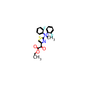 CCOC(=O)C(=O)c1csc([N+](C)(c2ccccc2F)c2ccccc2F)n1